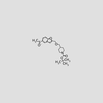 C[S+]([O-])c1ccc2oc(COCC3CCN(C(=O)OC(C)(C)C)CC3)cc2c1